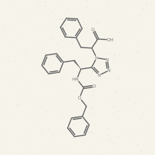 O=C(N[C@@H](Cc1ccccc1)c1nnnn1C(Cc1ccccc1)C(=O)O)OCc1ccccc1